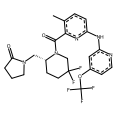 Cc1ccc(Nc2cc(OC(F)(F)F)ccn2)nc1C(=O)N1CC(F)(F)CC[C@@H]1CN1CCCC1=O